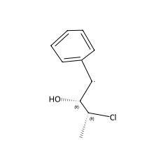 C[C@@H](Cl)[C@H](O)[CH]c1ccccc1